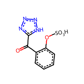 O=C(c1nnn[nH]1)c1ccccc1OS(=O)(=O)O